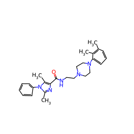 Cc1cccc(N2CCN(CCNC(=O)c3nc(C)n(-c4ccccc4)c3C)CC2)c1C